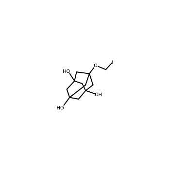 OC12CC3(O)CC(O)(C1)CC(OCI)(C2)C3